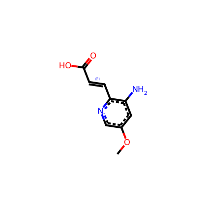 COc1cnc(/C=C/C(=O)O)c(N)c1